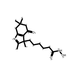 CC1=NC2=C(C(=O)CC(C)(C)C2)C1(C)CCCCCC(=O)NO